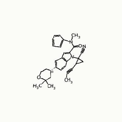 CC#CC1CC1(C#N)n1c(C(=O)N(C)c2ccccc2)cc2cc([C@H]3CCOC(C)(C)C3)ccc21